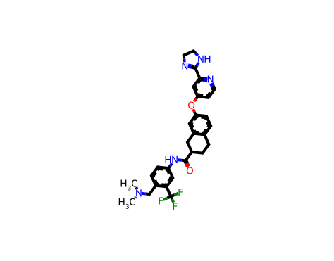 CN(C)Cc1ccc(NC(=O)C2CCc3ccc(Oc4ccnc(C5=NCCN5)c4)cc3C2)cc1C(F)(F)F